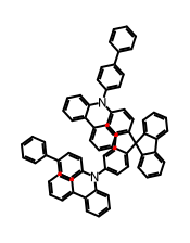 c1ccc(-c2ccc(N(c3ccc4c(c3)-c3cc(N(c5ccc(-c6ccccc6)cc5)c5ccccc5-c5ccccc5)ccc3C43c4ccccc4-c4ccccc43)c3ccccc3-c3ccccc3)cc2)cc1